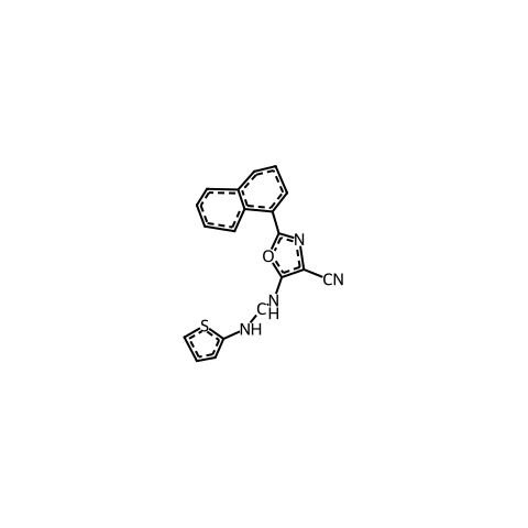 N#Cc1nc(-c2cccc3ccccc23)oc1NCNc1cccs1